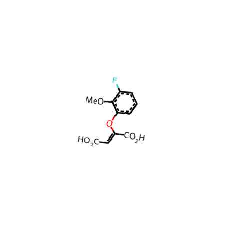 COc1c(F)cccc1O/C(=C\C(=O)O)C(=O)O